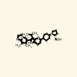 Cc1c(-c2[nH]c3ccc(C4CCC(N5CCC[C@@H]5CO)CC4)nc3c2C(C)C)cn2ncnc2c1C